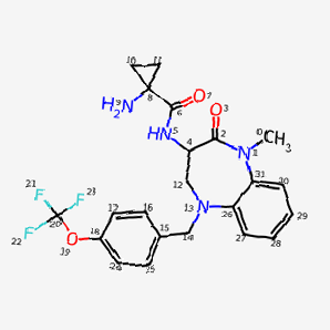 CN1C(=O)C(NC(=O)C2(N)CC2)CN(Cc2ccc(OC(F)(F)F)cc2)c2ccccc21